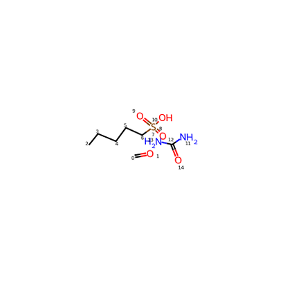 C=O.CCCCCS(=O)(=O)O.NC(N)=O